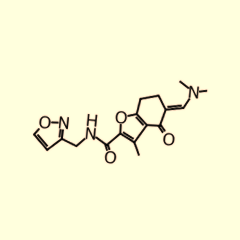 Cc1c(C(=O)NCc2ccon2)oc2c1C(=O)/C(=C/N(C)C)CC2